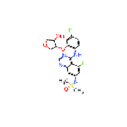 CS(C)(=O)=Nc1cc(F)c2c(Nc3ccc(F)cc3O[C@H]3COC[C@H]3O)ncnc2c1